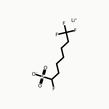 O=S(=O)([O-])C(F)CCCCCC(F)(F)F.[Li+]